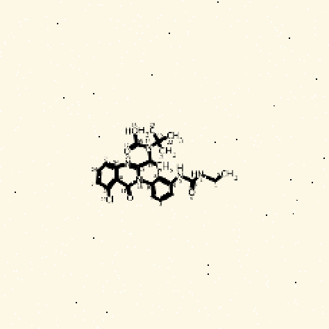 CCNC(=O)Nc1cccc(-n2c(C(C)N(C(=O)O)C(C)(C)C)nc3cccc(Cl)c3c2=O)c1